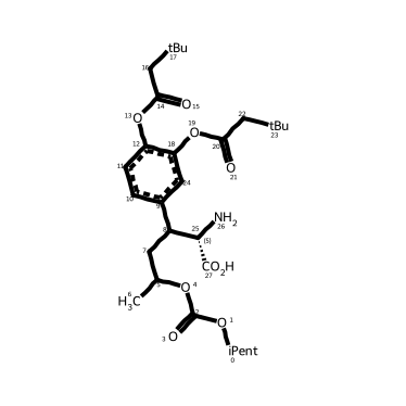 CCCC(C)OC(=O)OC(C)CC(c1ccc(OC(=O)CC(C)(C)C)c(OC(=O)CC(C)(C)C)c1)[C@H](N)C(=O)O